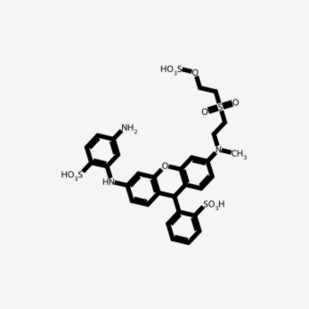 CN(CCS(=O)(=O)CCOS(=O)(=O)O)c1ccc2c(c1)Oc1cc(Nc3cc(N)ccc3S(=O)(=O)O)ccc1C2c1ccccc1S(=O)(=O)O